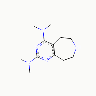 CCN(C)c1nc2c(c(N(C)C)n1)CCNCC2